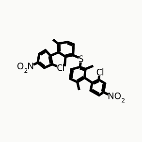 Cc1ccc(Sc2ccc(C)c(-c3ccc([N+](=O)[O-])cc3Cl)c2C)c(C)c1-c1ccc([N+](=O)[O-])cc1Cl